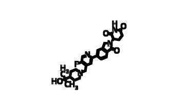 CC(C)(O)C1CCN(Cc2cc(-c3ccc4c(c3)CN(C3CCC(=O)NC3=O)C4=O)ncc2F)CC1